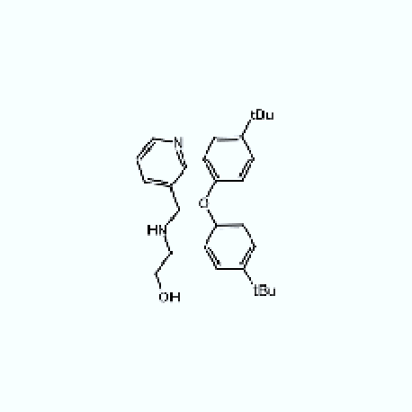 CC(C)(C)c1ccc(Oc2ccc(C(C)(C)C)cc2)cc1.OCCNCc1cccnc1